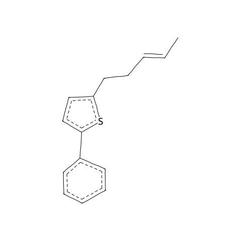 CC=CCCc1ccc(-c2ccccc2)s1